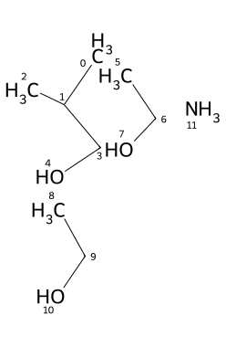 CC(C)CO.CCO.CCO.N